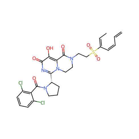 C=C/C=C\C(=C/C)S(=O)(=O)CCN1CCn2c([C@@H]3CCCN3C(=O)c3c(Cl)cccc3Cl)nc(=O)c(O)c2C1=O